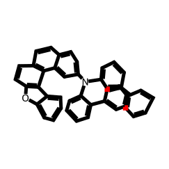 c1ccc(-c2cccc(N(c3ccc4ccc5ccc6oc7ccccc7c6c5c4c3)c3ccccc3-c3ccccc3)c2)cc1